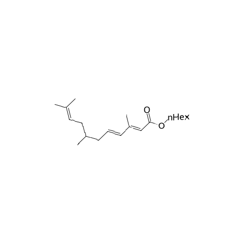 CCCCCCOC(=O)/C=C(C)/C=C/CC(C)CC=C(C)C